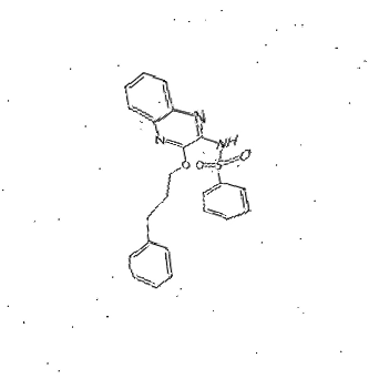 O=S(=O)(Nc1nc2ccccc2nc1OCCCc1ccccc1)c1ccccc1